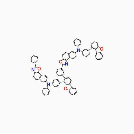 c1ccc(-c2nc3ccc4cc(N(c5ccccc5)c5ccc(-c6c(-c7cccc(-c8nc9c(ccc%10cc(N(c%11ccccc%11)c%11cccc(-c%12cccc%13oc%14ccccc%14c%12%13)c%11)ccc%109)o8)c7)ccc7c6oc6ccccc67)cc5)ccc4c3o2)cc1